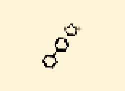 c1c[nH]nn1.c1ccc(-c2ccccc2)cc1